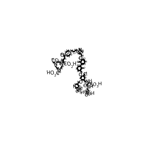 Cc1c(COc2cc(OCc3cncc(S(C)(=O)=O)c3)c(CN[C@@H](CS(=O)(=O)O)C(=O)NCCP(=O)(O)O)cc2Cl)cccc1-c1cccc(OCc2cn(CCCN3CCN(C(=O)CC[C@H](C(=O)O)N4CCN(CC(=O)O)CCN(CC(=O)O)CC4)CC3)nn2)c1C